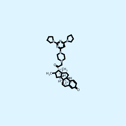 CC1C[C@H]2[C@@H]3CCC4=CC(=O)C=C[C@]4(C)[C@H]3CC[C@]2(C)[C@H]1C(=O)CN1CCN(c2cc(N3CCCC3)nc(N3CCCC3)n2)CC1